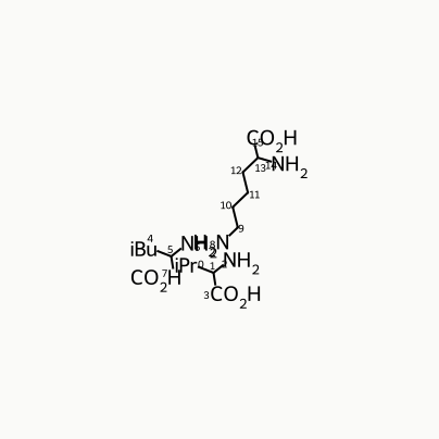 CC(C)C(N)C(=O)O.CCC(C)C(N)C(=O)O.NCCCCC(N)C(=O)O